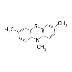 CC1=CC2Sc3cc(C)ccc3N(C)C2C=C1